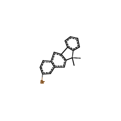 CC1(C)c2ccccc2-c2cc3ccc(Br)cc3cc21